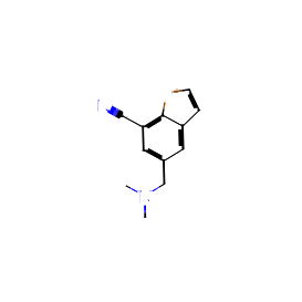 CN(C)Cc1cc(C#N)c2sccc2c1